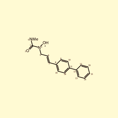 CNC(=O)N(O)C/C=C/c1ccc(-c2ccccc2)cc1